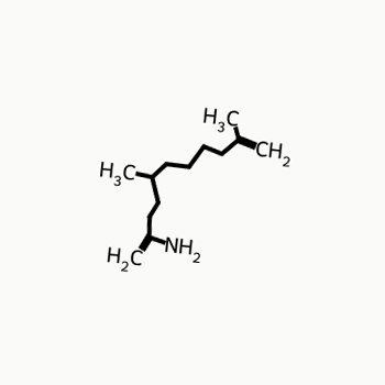 C=C(C)CCCCC(C)CCC(=C)N